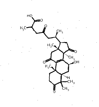 CC(CC(=O)C[C@@H](C)[C@H]1CC(=O)[C@@]2(C)C3=C(C(=O)C[C@]12C)[C@@]1(C)CCC(=O)C(C)(C)[C@@H]1C[C@@H]3O)C(=O)O